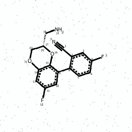 N#Cc1cc(F)ccc1-c1cc(F)cc2c1O[C@@H](CN)CO2